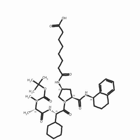 C[C@@H](C(=O)N[C@H](C(=O)N1C[C@@H](NC(=O)CCCCCCC(=O)O)C[C@H]1C(=O)N[C@@H]1CCCc2ccccc21)C1CCCCC1)N(C)C(=O)OC(C)(C)C